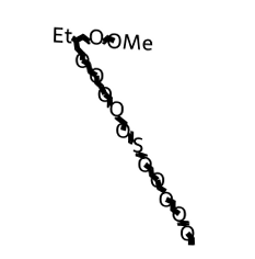 C=COCCOCCOCCOCCOCCSCCOCCOCCOCCOCCOCCC(CC)CCOCCOC